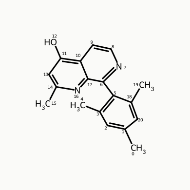 Cc1cc(C)c(-c2nccc3c(O)cc(C)nc23)c(C)c1